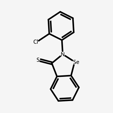 S=c1c2ccccc2[se]n1-c1ccccc1Cl